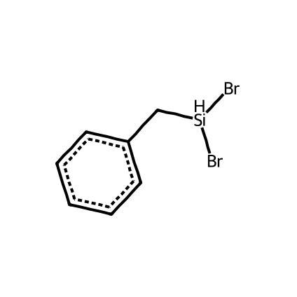 Br[SiH](Br)Cc1ccccc1